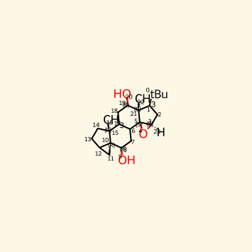 CC(C)(C)C1C[C@H]2O[C@]23C2C[C@@H](O)[C@]45CC4CC[C@]5(C)C2C[C@@H](O)[C@]13C